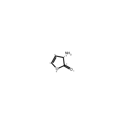 N.O=C1CC=CO1